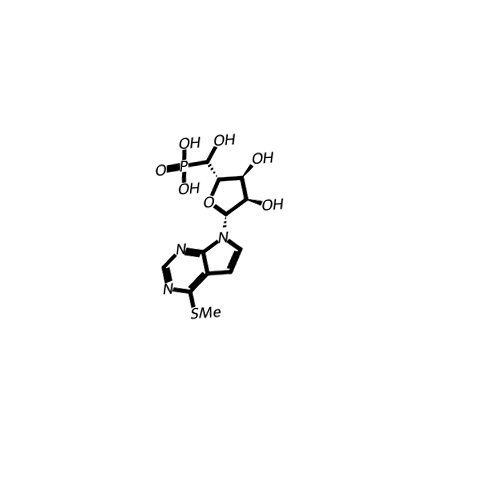 CSc1ncnc2c1ccn2[C@@H]1O[C@H](C(O)P(=O)(O)O)[C@@H](O)[C@H]1O